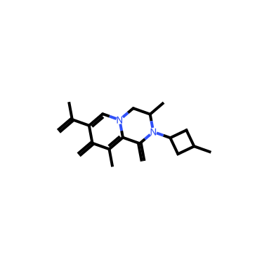 C=C(C)C1=CN2CC(C)N(C3CC(C)C3)C(=C)C2=C(C)C1=C